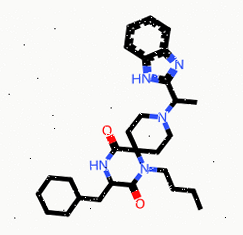 CCCCN1C(=O)C(CC2CCCCC2)NC(=O)C12CCN(C(C)c1nc3ccccc3[nH]1)CC2